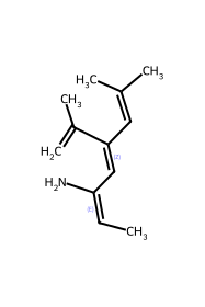 C=C(C)/C(C=C(C)C)=C\C(N)=C/C